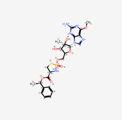 COc1nc(N)nc2c1ncn2[C@@H]1OC(CO[P@@]2(=O)N[C@@H](C(=O)O[C@H](C)c3ccccc3)CS2)[C@@H](O)[C@@]1(C)O